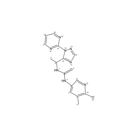 Cc1cc(NC(=O)NC(C)c2ncnn2-c2ncccn2)cnc1Cl